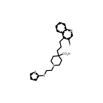 O=C(O)C1(CCCc2c(F)cnc3ccccc23)CCN(CCSc2cccs2)CC1